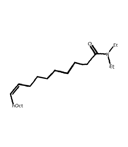 CCCCCCCC/C=C\CCCCCCCC(=O)N(CC)CC